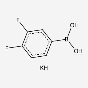 OB(O)c1ccc(F)c(F)c1.[KH]